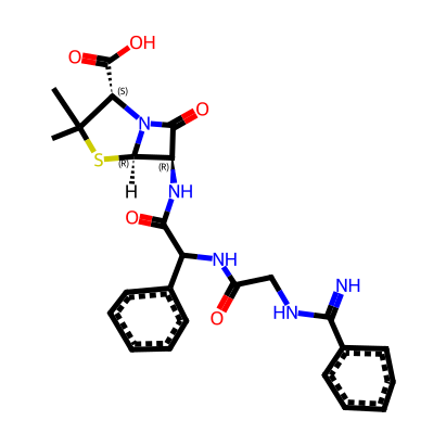 CC1(C)S[C@@H]2[C@H](NC(=O)C(NC(=O)CNC(=N)c3ccccc3)c3ccccc3)C(=O)N2[C@H]1C(=O)O